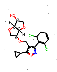 O[C@H]1CO[C@H]2[C@@H]1OC[C@@H]2OCc1c(C2=C(Cl)C=CCC2Cl)noc1C1CC1